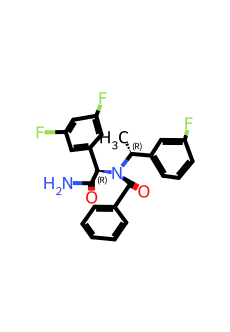 C[C@H](c1cccc(F)c1)N(C(=O)c1ccccc1)[C@@H](C(N)=O)c1cc(F)cc(F)c1